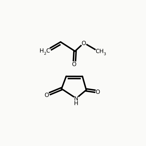 C=CC(=O)OC.O=C1C=CC(=O)N1